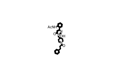 CC(=O)Nc1ccccc1-c1cc(=O)n(CC2(O)CCN(C(=O)CCc3ccccc3)CC2)cn1